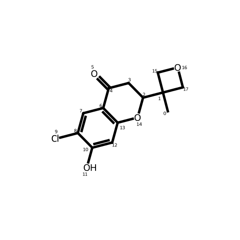 CC1(C2CC(=O)c3cc(Cl)c(O)cc3O2)COC1